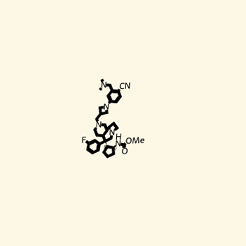 COC(=O)N[C@H]1CCC[C@@H]1C(CN1CCC1)(c1cccc(F)c1)C1CCN(CC2CN(c3ccc(C#N)c(CN(C)C)c3)C2)CC1